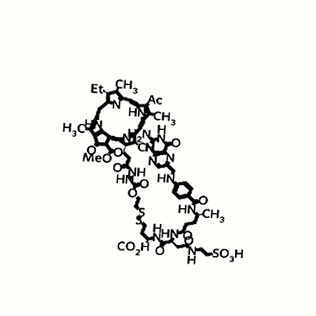 CC[C@H]1C2Cc3[nH]c4c(c3C)C(=O)C(C(=O)OC)/C4=C3N=C(/C=c4\[nH]/c(c(C(C)=O)c4C)=C\C(=N2)[C@@H]1C)[C@@H](C)[C@@H]/3CCC(=O)NNC(=O)OCCSSCC[C@H](NC(=O)[C@H](CC(=O)NCCS(=O)(=O)O)NC(=O)CC[C@@H](C)NC(=O)c1ccc(NCc2cnc3nc(N)[nH]c(=O)c3n2)cc1)C(=O)O